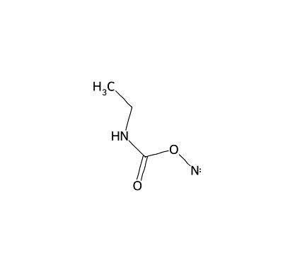 CCNC(=O)O[N]